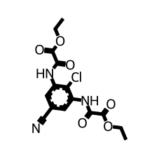 CCOC(=O)C(=O)Nc1cc(C#N)cc(NC(=O)C(=O)OCC)c1Cl